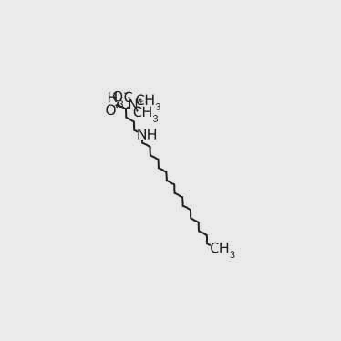 CCCCCCCCCCCCCCCCCCNCCCC(C(=O)[O-])[N+](C)(C)C